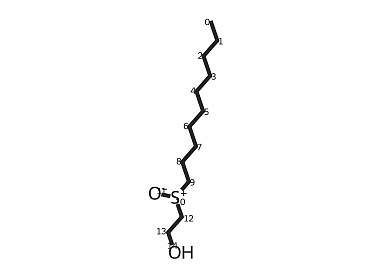 CCCCCCCCCC[S+]([O-])CCO